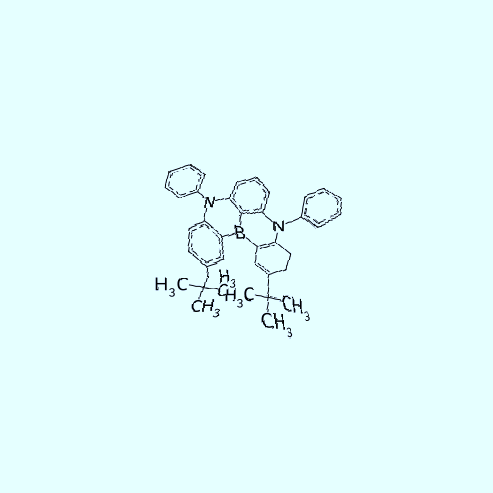 CC(C)(C)C1=CC2=C(CC1)N(c1ccccc1)c1cccc3c1B2c1cc(C(C)(C)C)ccc1N3c1ccccc1